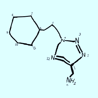 Nc1nnn(CC2CCCCC2)n1